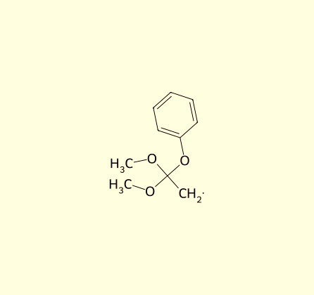 [CH2]C(OC)(OC)Oc1ccccc1